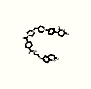 O=C1CCC(c2ccc(N3CCC(CN4CCN(C(=O)C5CCC(C(=O)NCCOc6ccc7c(c6)CCC(=O)N7)CC5)CC4)CC3)cc2)C(=O)N1